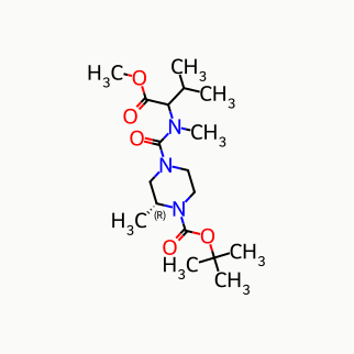 COC(=O)C(C(C)C)N(C)C(=O)N1CCN(C(=O)OC(C)(C)C)[C@H](C)C1